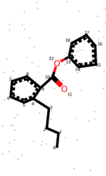 CCCCc1ccccc1C(=O)Oc1ccccc1